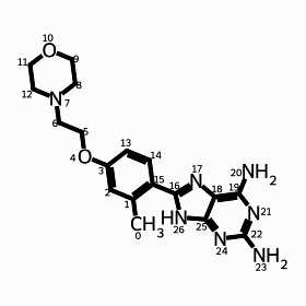 Cc1cc(OCCN2CCOCC2)ccc1-c1nc2c(N)nc(N)nc2[nH]1